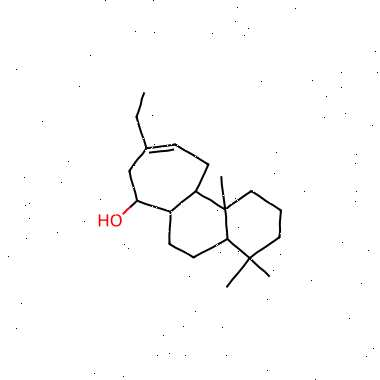 CCC1=CCC2C(CCC3C(C)(C)CCCC23C)C(O)C1